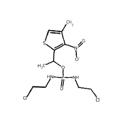 Cc1csc(C(C)OP(=O)(NCCCl)NCCCl)c1[N+](=O)[O-]